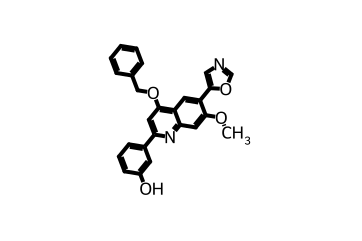 COc1cc2nc(-c3cccc(O)c3)cc(OCc3ccccc3)c2cc1-c1cnco1